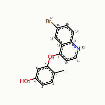 Cc1ccc(O)cc1Oc1ccnc2ccc(Br)cc12